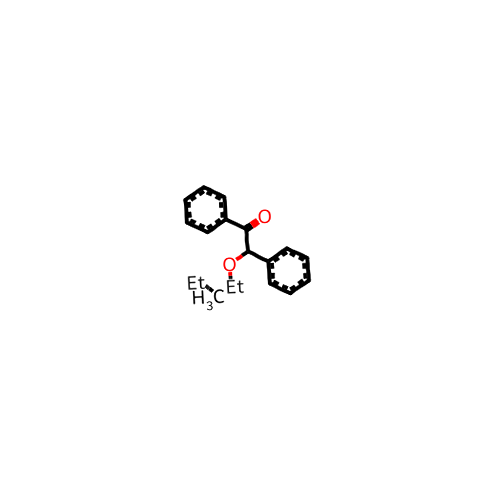 CCC.CCOC(C(=O)c1ccccc1)c1ccccc1